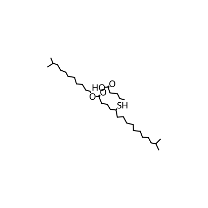 CC(C)CCCCCCCCCOC(=O)CCCC(S)CCCCCCCCCC(C)C.CCCCC(=O)O